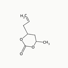 C=CCC1CC(C)OC(=O)O1